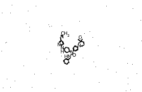 C=NCc1ccc(N[C@H]2CC[C@H](N(C(=O)NCc3ccccc3)c3ccc(N4CCCC5(COC5)C4)cc3)CC2)nc1